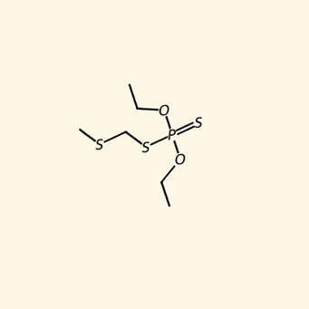 CCOP(=S)(OCC)SCSC